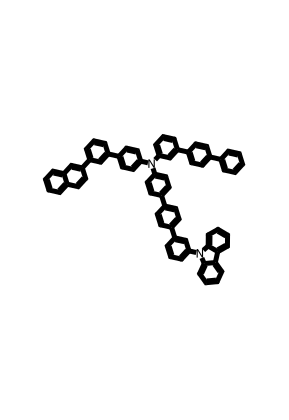 c1ccc(-c2ccc(-c3cccc(N(c4ccc(-c5ccc(-c6cccc(-n7c8ccccc8c8ccccc87)c6)cc5)cc4)c4ccc(-c5cccc(-c6ccc7ccccc7c6)c5)cc4)c3)cc2)cc1